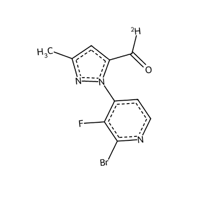 [2H]C(=O)c1cc(C)nn1-c1ccnc(Br)c1F